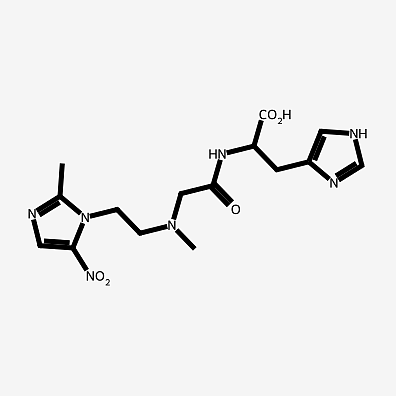 Cc1ncc([N+](=O)[O-])n1CCN(C)CC(=O)NC(Cc1c[nH]cn1)C(=O)O